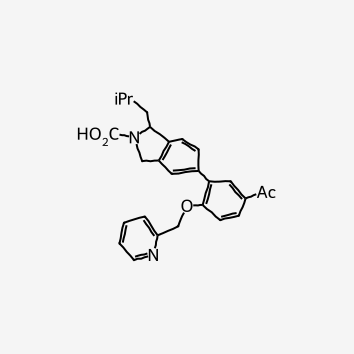 CC(=O)c1ccc(OCc2ccccn2)c(-c2ccc3c(c2)CN(C(=O)O)C3CC(C)C)c1